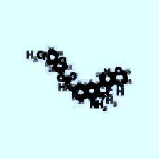 Cc1c(-c2cc3cc(NC(=O)O[C@H]4CO[C@]5(CCN(C)C5)C4)ncc3c(N)c2F)cnc2c1NCCO2